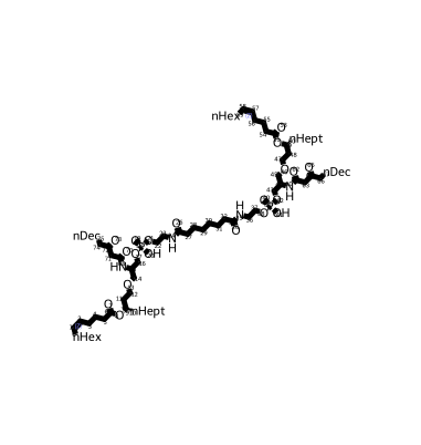 CCCCCC/C=C\CCCC(=O)O[C@H](CCCCCCC)CCOCC(COP(=O)(O)OCCNC(=O)CCCCCCC(=O)NCCOP(=O)(O)OCC(COCC[C@@H](CCCCCCC)OC(=O)CCC/C=C\CCCCCC)NC(=O)CC(=O)CCCCCCCCCCC)NC(=O)CC(=O)CCCCCCCCCCC